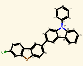 Clc1ccc2c(c1)sc1ccc(-c3ccc4c(c3)c3ccccc3n4-c3ccccc3)cc12